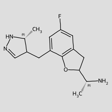 C[C@@H](N)C1Cc2cc(F)cc(CC3C=NN[C@@H]3C)c2O1